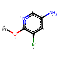 CC(C)Oc1ncc(N)cc1Br